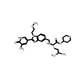 COCCn1c(-c2c[nH]c(=O)c(C)c2)nc2cc(CN[C@@H](CCC(C)C)C(=O)OC3CCOCC3)ccc21